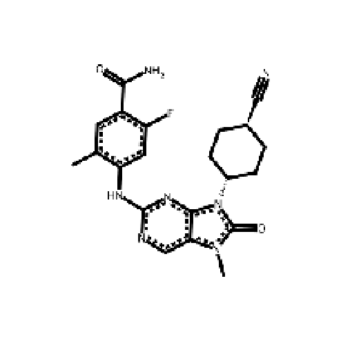 Cc1cc(C(N)=O)c(F)cc1Nc1ncc2c(n1)n([C@H]1CC[C@H](C#N)CC1)c(=O)n2C